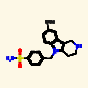 COc1ccc2c(c1)c1c(n2Cc2ccc(S(N)(=O)=O)cc2)CCNC1